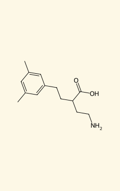 Cc1cc(C)cc(CCC(CCN)C(=O)O)c1